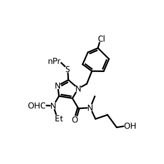 CCCSc1nc(N(C=O)CC)c(C(=O)N(C)CCCO)n1Cc1ccc(Cl)cc1